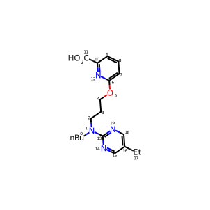 CCCCN(CCCOc1cccc(C(=O)O)n1)c1ncc(CC)cn1